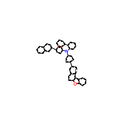 c1ccc(-c2ccccc2N(c2ccc(-c3ccc4ccccc4c3)cc2)c2ccc(-c3ccc4c(ccc5oc6ccccc6c54)c3)cc2)cc1